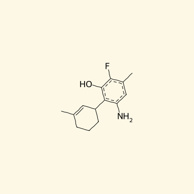 CC1=CC(c2c(N)cc(C)c(F)c2O)CCC1